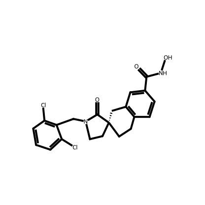 O=C(NO)c1ccc2c(c1)C[C@]1(CC2)CCN(Cc2c(Cl)cccc2Cl)C1=O